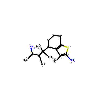 CCCC(C(C)N)C(C)(C)C1CCCc2sc(N)c(C#N)c21